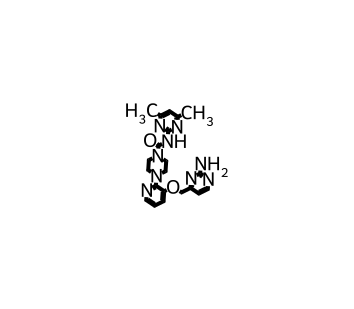 Cc1cc(C)nc(NC(=O)N2CCN(c3ncccc3OCc3ccnc(N)n3)CC2)n1